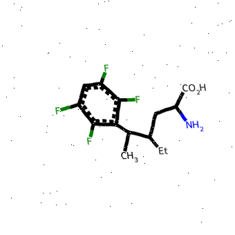 CCC(CC(N)C(=O)O)C(C)c1c(F)c(F)cc(F)c1F